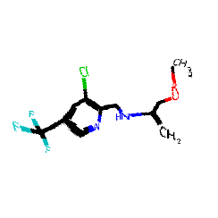 C=C(COC)NCc1ncc(C(F)(F)F)cc1Cl